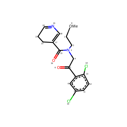 COCCN(CC(=O)c1cc(Cl)ccc1Cl)C(=O)C1=CN=CCC1